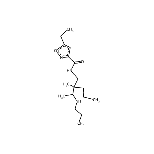 CCCNC(C)C(C)(CCC)CNC(=O)c1cc(CC)on1